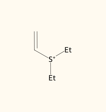 C=C[S+](CC)CC